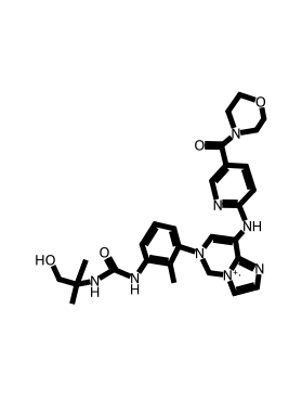 Cc1c(NC(=O)NC(C)(C)CO)cccc1N1C=C(Nc2ccc(C(=O)N3CCOCC3)cn2)C2=NC=C[N+]2C1